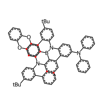 Cc1cc2c3c(c1)N(c1ccc(C(C)(C)C)cc1-c1ccccc1)c1cc4c(cc1B3N(c1ccc(C(C)(C)C)cc1-c1ccccc1)c1ccc(N(c3ccccc3)c3ccccc3)cc1-2)Oc1ccccc1O4